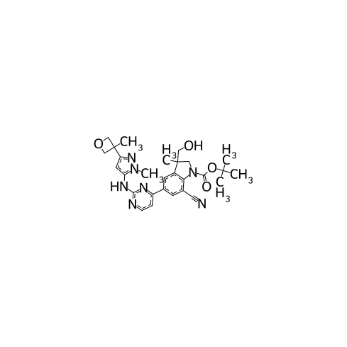 Cn1nc(C2(C)COC2)cc1Nc1nccc(-c2cc(C#N)c3c(c2)C(C)(CO)CN3C(=O)OC(C)(C)C)n1